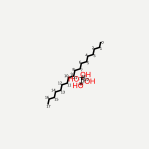 CCCCCCCCCCCCCCCCCC.[OH][Ti]([OH])([OH])[OH]